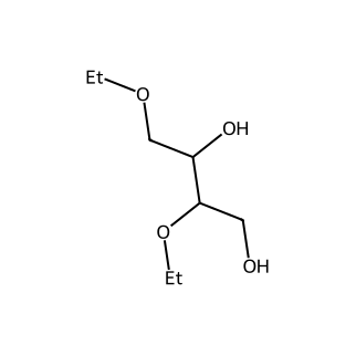 CCOCC(O)C(CO)OCC